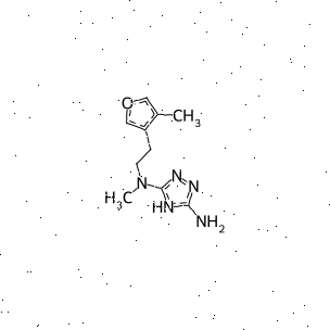 Cc1cocc1CCN(C)c1nnc(N)[nH]1